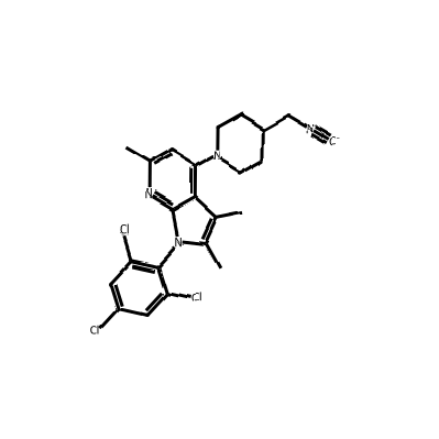 [C-]#[N+]CC1CCN(c2cc(C)nc3c2c(C)c(C)n3-c2c(Cl)cc(Cl)cc2Cl)CC1